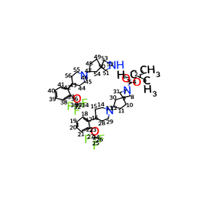 CC(C)(C)OC(=O)N1CC2(CCC(N3CCC(c4ccccc4OC(F)(F)F)CC3)C2)C1.FC(F)(F)Oc1ccccc1C1CCN(C2CCC3(CNC3)C2)CC1